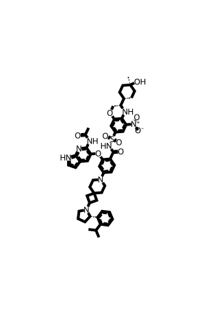 CC(=O)Nc1nc2[nH]ccc2cc1Oc1cc(N2CCC3(CC2)CC(N2CCC[C@H]2c2ccccc2C(C)C)C3)ccc1C(=O)NS(=O)(=O)c1cc2c(c([N+](=O)[O-])c1)N[C@@H]([C@H]1CC[C@](C)(O)CC1)CO2